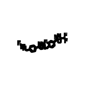 Fc1cc(-c2nnc(C(F)F)o2)ccc1Cn1cc(-c2ccc(CN3CC(F)C3)cc2)nn1